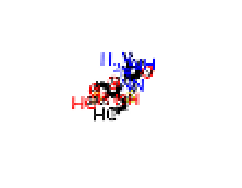 C#CCCSc1nc2c(=O)[nH]c(N)nc2n1C1OC2COP(O)OC2C1O